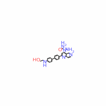 NC(=O)N(N)c1cc(-c2ccc(-c3ccc(NCCO)cc3)cc2)nc2ccncc12